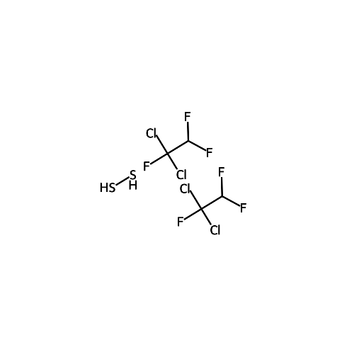 FC(F)C(F)(Cl)Cl.FC(F)C(F)(Cl)Cl.SS